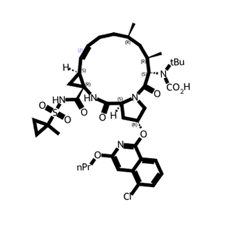 CCCOc1cc2c(Cl)cccc2c(O[C@@H]2C[C@H]3C(=O)N[C@]4(C(=O)NS(=O)(=O)C5(C)CC5)C[C@H]4/C=C\CC[C@@H](C)C[C@@H](C)[C@H](N(C(=O)O)C(C)(C)C)C(=O)N3C2)n1